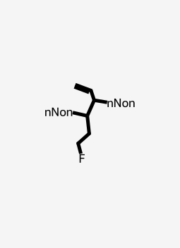 C=CC(CCCCCCCCC)C(CCF)CCCCCCCCC